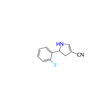 N#CC1=CNC(c2ccccc2F)C1